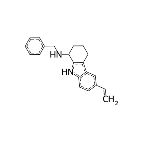 C=Cc1ccc2[nH]c3c(c2c1)CCCC3NCc1ccccc1